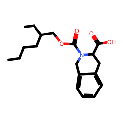 CCCCC(CC)COC(=O)N1Cc2ccccc2CC1C(=O)O